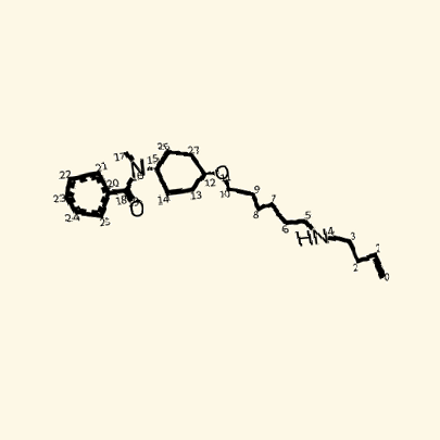 C=CCCNCCCCCCO[C@H]1CC[C@H](N(C)C(=O)c2ccccc2)CC1